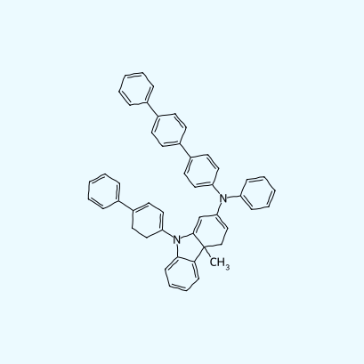 CC12CC=C(N(c3ccccc3)c3ccc(-c4ccc(-c5ccccc5)cc4)cc3)C=C1N(C1=CC=C(c3ccccc3)CC1)c1ccccc12